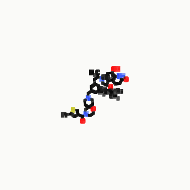 CC(C)c1cc(C(=O)N2CCOC3(CCN(Cc4cccc(C[C@@H](C)N(C[C@](O[Si](C)(C)C(C)(C)C)(c5ccc(O)c6[nH]c(=O)ccc56)C(C)(C)C)C(=O)O)c4)CC3)C2)cs1